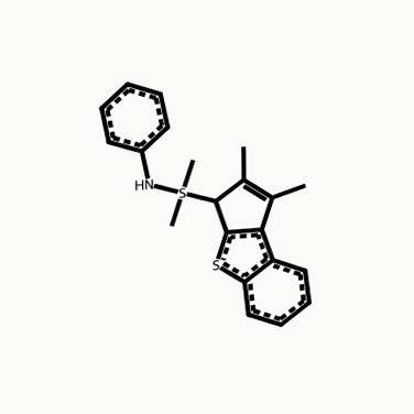 CC1=C(C)C(S(C)(C)Nc2ccccc2)c2sc3ccccc3c21